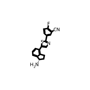 N#Cc1cc(-c2ncc(-c3cccc4c3CC[C@@H]4N)s2)ccc1F